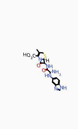 CC1=C(C(=O)O)N2C(=O)C(NC(=O)[C@H](N)Nc3ccc4[nH]cnc4c3)[C@@H]2SC1